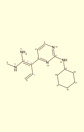 C=C/C(=C(/N)NC)c1ccnc(NC2CCCCC2)n1